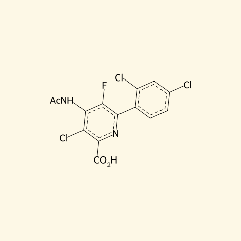 CC(=O)Nc1c(F)c(-c2ccc(Cl)cc2Cl)nc(C(=O)O)c1Cl